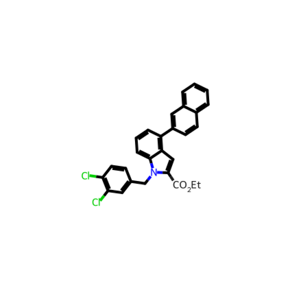 CCOC(=O)c1cc2c(-c3ccc4ccccc4c3)cccc2n1Cc1ccc(Cl)c(Cl)c1